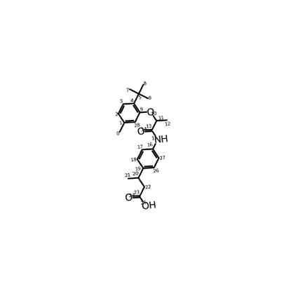 Cc1ccc(C(C)(C)C)c(OC(C)C(=O)Nc2ccc(C(C)CC(=O)O)cc2)c1